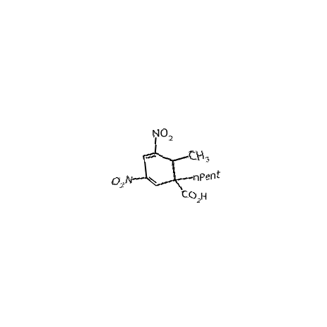 CCCCCC1(C(=O)O)C=C([N+](=O)[O-])C=C([N+](=O)[O-])C1C